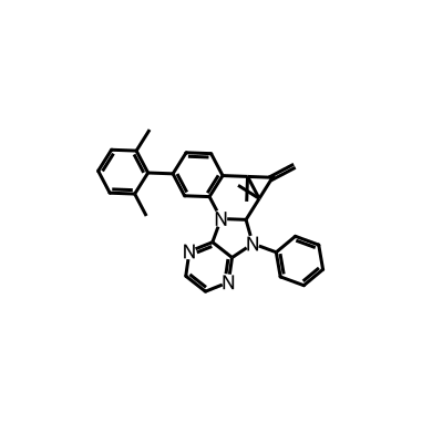 C=C1C2(C)c3ccc(-c4c(C)cccc4C)cc3N3c4nccnc4N(c4ccccc4)C3C12C